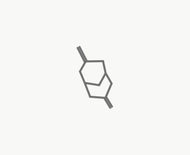 C=C1CC2CC(=C)CC(C1)C2